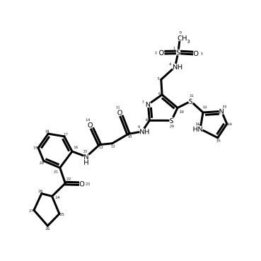 CS(=O)(=O)NCc1nc(NC(=O)CC(=O)Nc2ccccc2C(=O)C2CCCC2)sc1Sc1ncc[nH]1